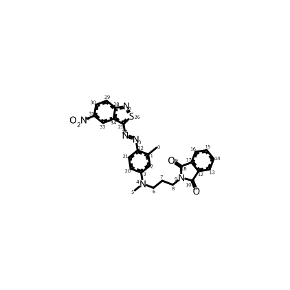 Cc1cc(N(C)CCCN2C(=O)c3ccccc3C2=O)ccc1/N=N/c1snc2ccc([N+](=O)[O-])cc12